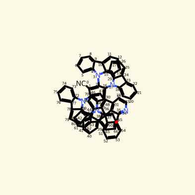 N#Cc1c(-n2c3ccccc3c3ccccc32)c(-n2c3ccccc3c3ccccc32)c(-c2ccnc3c2C2(c4ccccc4-c4ccccc42)c2ccccc2-3)c(-n2c3ccccc3c3ccccc32)c1-n1c2ccccc2c2ccccc21